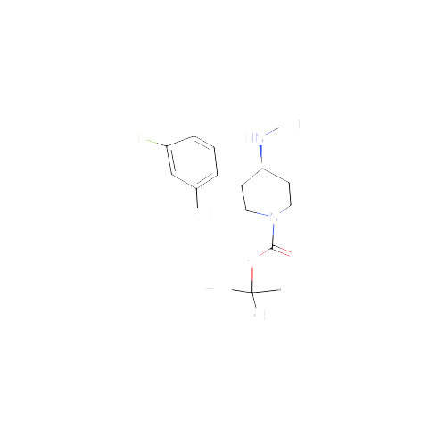 CN[C@H]1CCN(C(=O)OC(C)(C)C)C[C@@H]1c1ccc(F)cc1C